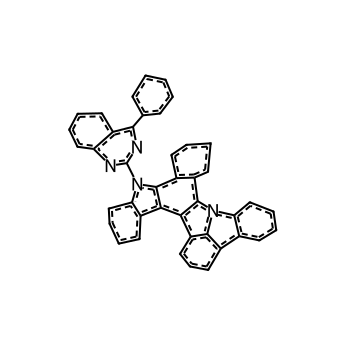 c1ccc(-c2nc(-n3c4ccccc4c4c5c6cccc7c8ccccc8n(c76)c5c5ccccc5c43)nc3ccccc23)cc1